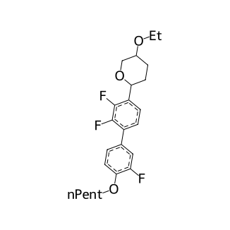 CCCCCOc1ccc(-c2ccc(C3CCC(OCC)CO3)c(F)c2F)cc1F